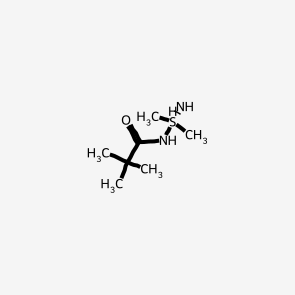 CC(C)(C)C(=O)N[SH](C)(C)=N